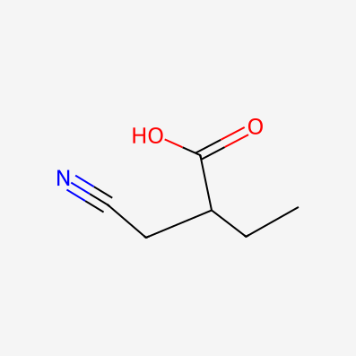 CCC(CC#N)C(=O)O